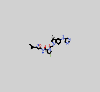 CC(=O)c1cn(CC(=O)N2C[C@H](F)C[C@H]2C(=O)Nc2cc(C3CC3C)no2)c2ccc(Nc3cncnc3)cc12